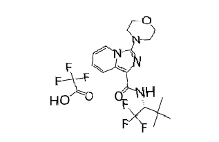 CC(C)(C)[C@@H](NC(=O)c1nc(N2CCOCC2)n2ccccc12)C(F)(F)F.O=C(O)C(F)(F)F